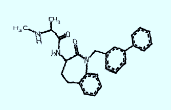 CNC(C)C(=O)NC1CCc2ccccc2N(Cc2cccc(-c3ccccc3)c2)C1=O